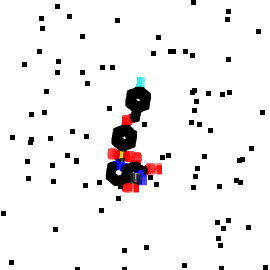 CCC1(O)CCCN(S(=O)(=O)c2ccc(OCc3ccc(F)cc3)cc2)C1C(=O)NO